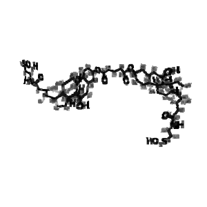 C[C@H](CCC(=O)NCCS(=O)(=O)O)[C@H]1CC[C@H]2[C@@H]3[C@H](O)CC4C[C@H](OC(=O)CCCC(=O)O[C@@H]5CC[C@@]6(C)C(C5)C[C@@H](O)[C@H]5[C@@H]7CC[C@H]([C@H](C)CCC(=O)NCCS(=O)(=O)O)[C@@]7(C)CC[C@@H]56)CC[C@]4(C)[C@H]3CC[C@]12C